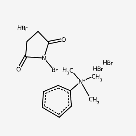 Br.Br.Br.C[N+](C)(C)c1ccccc1.O=C1CCC(=O)N1Br